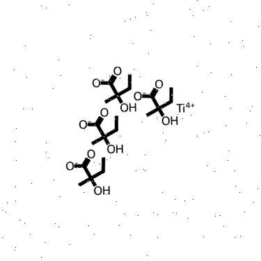 CCC(C)(O)C(=O)[O-].CCC(C)(O)C(=O)[O-].CCC(C)(O)C(=O)[O-].CCC(C)(O)C(=O)[O-].[Ti+4]